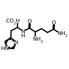 NC(=O)CCC(N)C(=O)NC(Cc1c[nH]cn1)C(=O)O